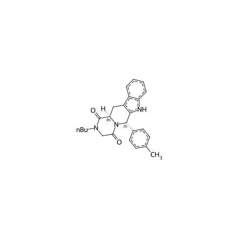 CCCCN1CC(=O)N2[C@@H](c3ccc(C)cc3)c3[nH]c4ccccc4c3C[C@@H]2C1=O